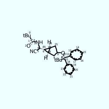 CC(C)(C)[S+]([O-])NC(C#N)[C@H]1[C@@H]2CC(O[Si](c3ccccc3)(c3ccccc3)C(C)(C)C)C[C@@H]21